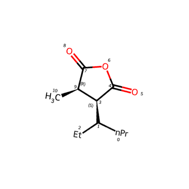 CCCC(CC)[C@@H]1C(=O)OC(=O)[C@@H]1C